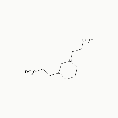 CCOC(=O)CCN1CCCN(CCC(=O)OCC)C1